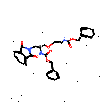 O=C(NCCOC[C@@H](CN1C(=O)c2ccccc2C1=O)NC(=O)OCc1ccccc1)OCc1ccccc1